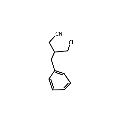 N#CCC(CCl)Cc1ccccc1